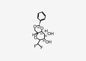 O[C@H]1[C@@H]2O[C@H](c3ccccc3)OC[C@H]2OC(C(F)F)[C@@H]1O